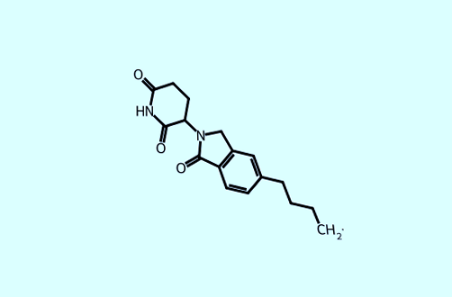 [CH2]CCCc1ccc2c(c1)CN(C1CCC(=O)NC1=O)C2=O